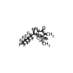 C=C(C(=O)c1nnc(C(F)(F)C(F)(F)C(F)(F)C(F)(F)F)n1C)S(=O)(=O)CC